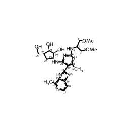 COCC(COC)Nc1nc(C)c(-c2nc3c(C)nccc3s2)c(N[C@@H]2C[C@H](CO)[C@@H](O)[C@H]2O)n1